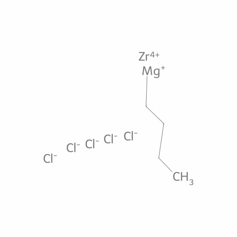 CCC[CH2][Mg+].[Cl-].[Cl-].[Cl-].[Cl-].[Cl-].[Zr+4]